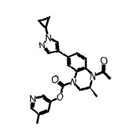 CC(=O)N1c2ccc(-c3cnn(C4CC4)c3)cc2N(C(=O)Oc2cncc(C)c2)C[C@@H]1C